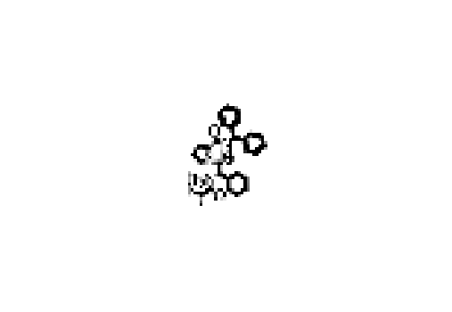 C[C@H](N)C(=O)N[C@H](C(=O)N1CCC[C@H]1C(=O)NC(c1ccccc1)c1ccccc1)C1CCCCC1